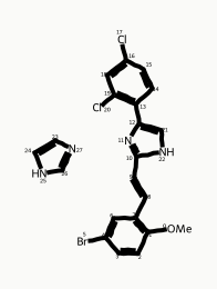 COc1ccc(Br)cc1C=Cc1nc(-c2ccc(Cl)cc2Cl)c[nH]1.c1c[nH]cn1